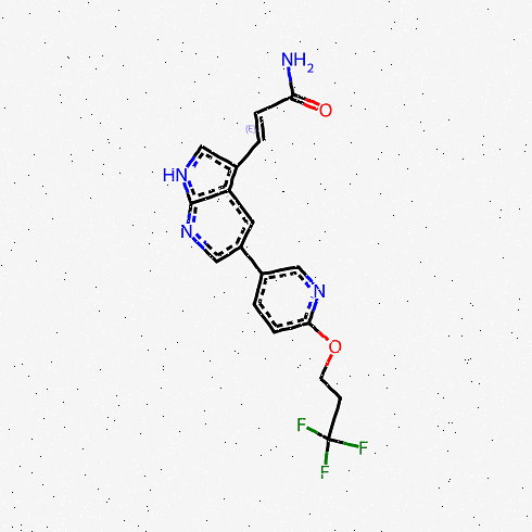 NC(=O)/C=C/c1c[nH]c2ncc(-c3ccc(OCCC(F)(F)F)nc3)cc12